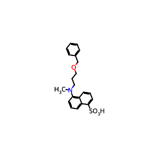 CN(CCCOCc1ccccc1)c1cccc2c(S(=O)(=O)O)cccc12